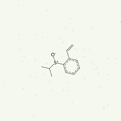 C=Cc1ccccc1[S+]([O-])C(C)C